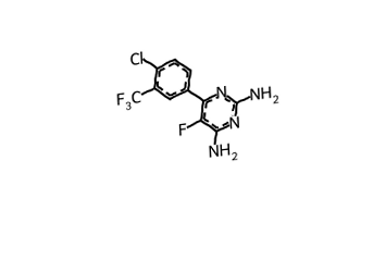 Nc1nc(N)c(F)c(-c2ccc(Cl)c(C(F)(F)F)c2)n1